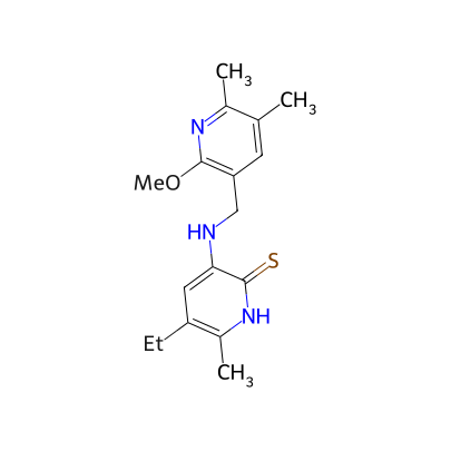 CCc1cc(NCc2cc(C)c(C)nc2OC)c(=S)[nH]c1C